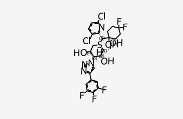 OC[C@@H]1[C@H](O)[C@@H](n2cc(-c3cc(F)c(F)c(F)c3)nn2)[C@@H](O)C[SH]1[C@H](c1nc(Cl)ccc1Cl)C1(O)CCC(F)(F)CC1